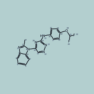 Cc1nc2ccccc2n1-c1cnnc(Nc2ccc(OC(F)F)cc2)n1